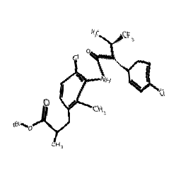 Cc1c(CC(C)C(=O)OC(C)(C)C)ccc(Cl)c1NC(=O)[C@H](C1C=CC(Cl)=CC1)[C@@H](C)C(F)(F)F